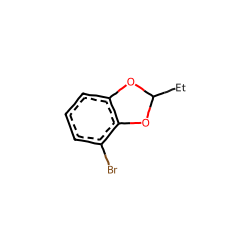 CCC1Oc2cccc(Br)c2O1